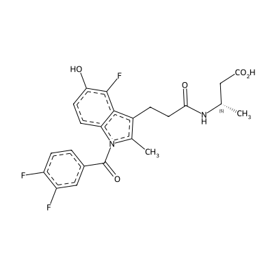 Cc1c(CCC(=O)N[C@@H](C)CC(=O)O)c2c(F)c(O)ccc2n1C(=O)c1ccc(F)c(F)c1